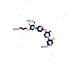 COCCCO[C@H]1CN(c2ccc(OC3CCN(c4cc(OC)ncc4Cl)CC3C)nc2)[C@@H](CC(=O)O)[C@@H]1C